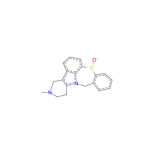 CN1CCc2c(c3cccc4c3n2Cc2ccccc2[S+]4[O-])C1